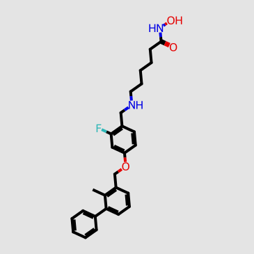 Cc1c(COc2ccc(CNCCCCCC(=O)NO)c(F)c2)cccc1-c1ccccc1